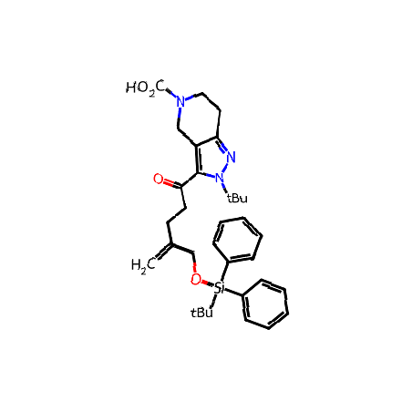 C=C(CCC(=O)c1c2c(nn1C(C)(C)C)CCN(C(=O)O)C2)CO[Si](c1ccccc1)(c1ccccc1)C(C)(C)C